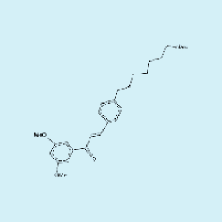 CCCCCCCCCCCCCCCCCc1ccc(C=CC(=O)c2cc(OC)cc(OC)c2)cc1